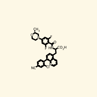 C[C@H]1CN(c2cc(F)c(C(=O)NC(Cc3ccc(-c4ccc(C#N)cc4Cl)c4ncccc34)C(=O)O)c(F)c2)CCO1